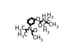 CCC(=O)N(c1cccc(OC(=O)NC(C)(C)C)c1)C(C)C